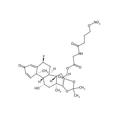 CC1(C)O[C@@H]2C[C@H]3[C@@H]4C[C@H](F)C5=CC(=O)C=C[C@]5(C)[C@H]4[C@@H](O)C[C@]3(C)[C@]2(C(=O)COC(=O)CNC(=O)CCCO[N+](=O)[O-])O1